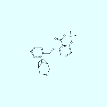 CC1(C)OC(=O)c2c(OCc3cccnc3N3C4CCC3COC4)cccc2O1